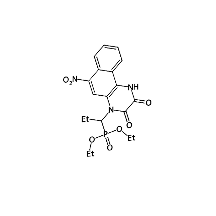 CCOP(=O)(OCC)C(CC)n1c(=O)c(=O)[nH]c2c3ccccc3c([N+](=O)[O-])cc21